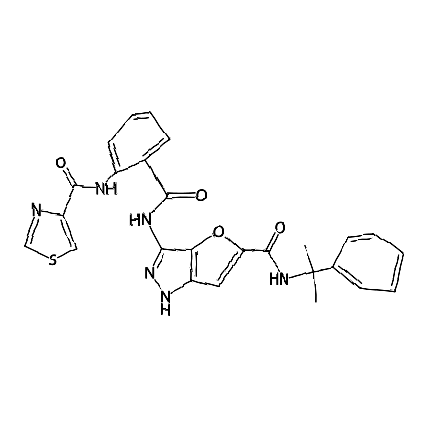 CC(C)(NC(=O)c1cc2[nH]nc(NC(=O)c3ccccc3NC(=O)c3cscn3)c2o1)c1ccccc1